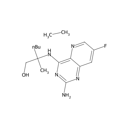 CC.CCCCC(C)(CO)Nc1nc(N)nc2cc(F)cnc12